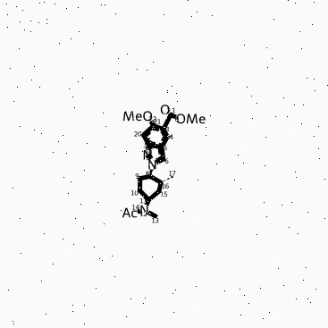 COC(=O)c1cc2cn([C@@H]3CCC(N(C)C(C)=O)C[C@H]3C)nc2cc1OC